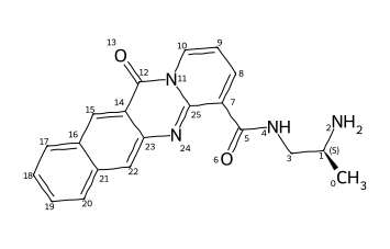 C[C@H](N)CNC(=O)c1cccn2c(=O)c3cc4ccccc4cc3nc12